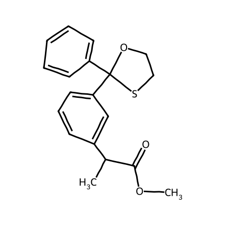 COC(=O)C(C)c1cccc(C2(c3ccccc3)OCCS2)c1